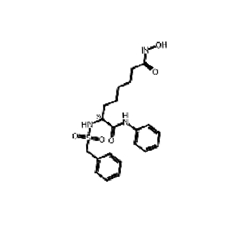 O=C(CCCCC[C@H](NS(=O)(=O)Cc1ccccc1)C(=O)Nc1ccccc1)NO